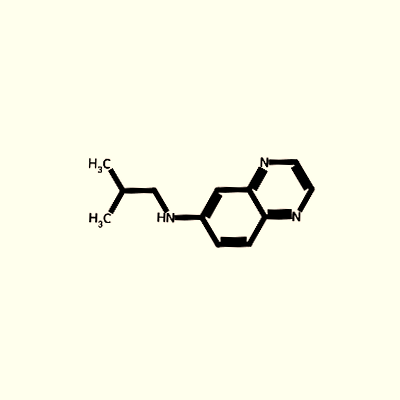 CC(C)CNc1ccc2nccnc2c1